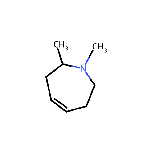 CC1CC=CCCN1C